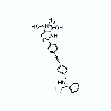 C[C@H](NCc1ccc(C#Cc2ccc(C(=O)N[C@H](C(=O)NO)[C@@H](C)O)cc2)cc1)c1ccccc1